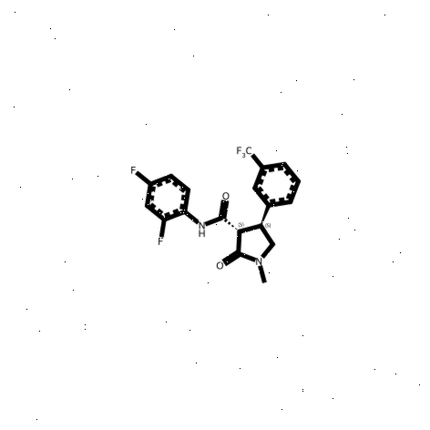 CN1C[C@H](c2cccc(C(F)(F)F)c2)[C@@H](C(=O)Nc2ccc(F)cc2F)C1=O